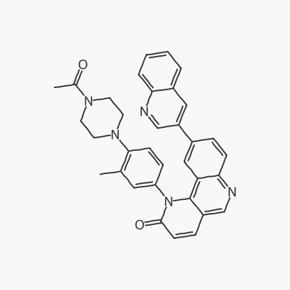 CC(=O)N1CCN(c2ccc(-n3c(=O)ccc4cnc5ccc(-c6cnc7ccccc7c6)cc5c43)cc2C)CC1